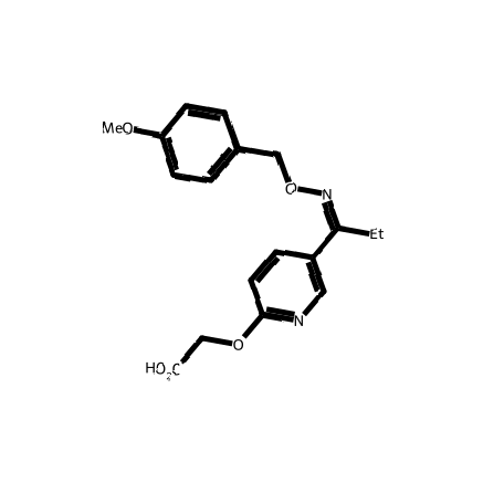 CCC(=NOCc1ccc(OC)cc1)c1ccc(OCC(=O)O)nc1